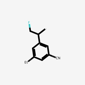 [CH2]C(CF)c1cc(C#N)cc(CC)c1